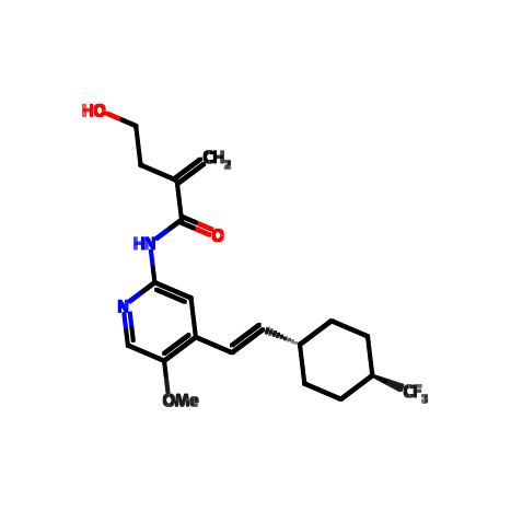 C=C(CCO)C(=O)Nc1cc(/C=C/[C@H]2CC[C@H](C(F)(F)F)CC2)c(OC)cn1